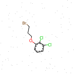 Clc1cccc(OCCCBr)c1Cl